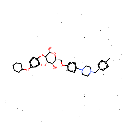 Cc1ccc(CN2CCN(c3ccc(OC[C@H]4O[C@H](O)[C@H](Oc5ccc(OC6CCCCC6)cc5)[C@@H](O)[C@@H]4O)cc3)CC2)cc1